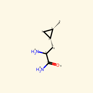 C[C@H]1C[C@H]1CC(N)C(N)=O